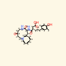 Cc1cc(CCC[C@H](CC(=O)O)C(=O)NC2Cc3ccccccn(c3)CCC(=O)CCNC2=O)ccc1O